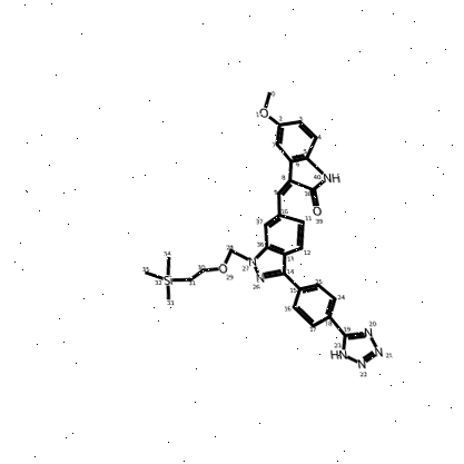 COc1ccc2c(c1)C(=Cc1ccc3c(-c4ccc(-c5nnn[nH]5)cc4)nn(COCC[Si](C)(C)C)c3c1)C(=O)N2